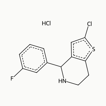 Cl.Fc1cccc(C2NCCc3sc(Cl)cc32)c1